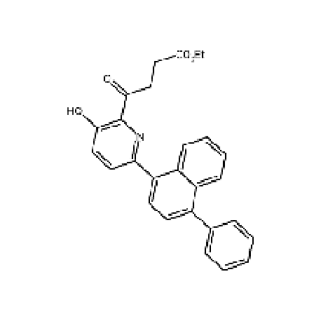 CCOC(=O)CCC(=O)c1nc(-c2ccc(-c3ccccc3)c3ccccc23)ccc1O